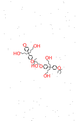 CCC(C)(CC)Oc1ccc(C(CCCCO)(CCCCO)c2ccc(OCC(O)CC(CC)(CC)Oc3ccc(C(CCCCO)(CCCCO)c4ccc(OC)cc4)cc3)cc2)cc1